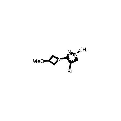 COC1CN(c2nn(C)cc2Br)C1